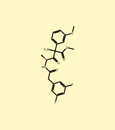 COC(=O)C(N)(C(=O)[C@H](C)NC(=O)Cc1cc(F)cc(F)c1)c1cccc(OC)c1